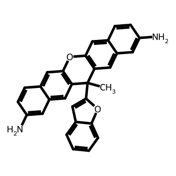 CC1(c2cc3ccccc3o2)c2cc3cc(N)ccc3cc2Oc2cc3ccc(N)cc3cc21